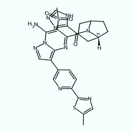 Cc1cnc(-c2ccc(-c3cnn4c(N)c(S(C)(=O)=O)c(C5CC6CC[C@H](C5)N6C(=O)c5nnc[nH]5)nc34)cn2)s1